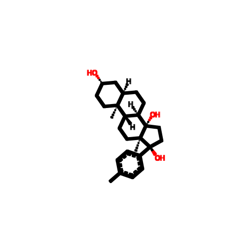 Cc1ccc([C@@]2(O)CC[C@]3(O)[C@@H]4CC[C@@H]5C[C@@H](O)CC[C@]5(C)[C@H]4CC[C@]23C)cc1